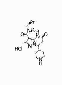 Cc1nn2c(C3CCNCC3)cc(=O)[nH]c2c1C(=O)NCC(C)C.Cl